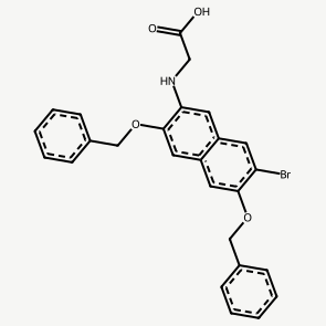 O=C(O)CNc1cc2cc(Br)c(OCc3ccccc3)cc2cc1OCc1ccccc1